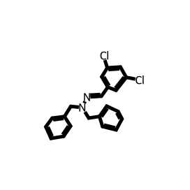 Clc1cc(Cl)cc(C=NN(Cc2ccccc2)Cc2ccccc2)c1